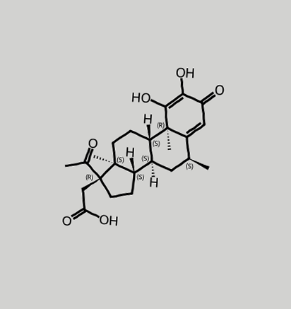 CC(=O)[C@@]1(CC(=O)O)CC[C@H]2[C@@H]3C[C@H](C)C4=CC(=O)C(O)=C(O)[C@]4(C)[C@H]3CC[C@@]21C